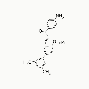 CCCOc1ccc(-c2cc(C)cc(C)c2)cc1/C=C/C(=O)c1ccc(N)cc1